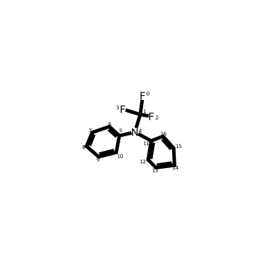 FC(F)(F)N(c1ccccc1)c1ccccc1